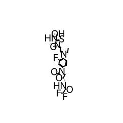 CCN(CCN(OC)C(=S)NO)c1ccc(N2C[C@H](CNC(=O)C(F)F)OC2=O)cc1F